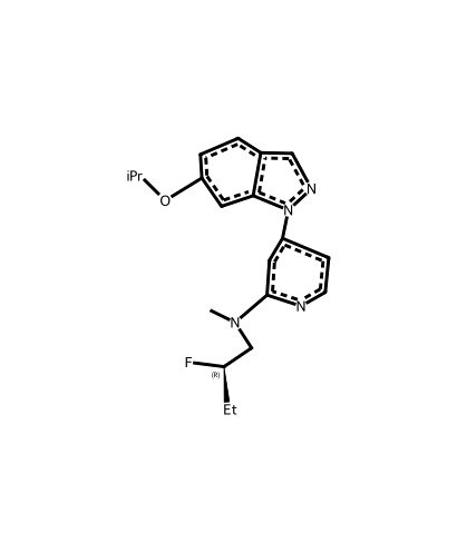 CC[C@@H](F)CN(C)c1cc(-n2ncc3ccc(OC(C)C)cc32)ccn1